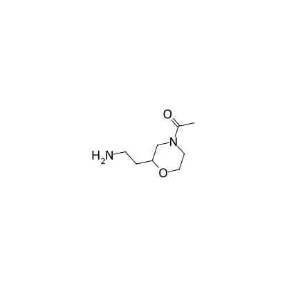 CC(=O)N1CCOC(CCN)C1